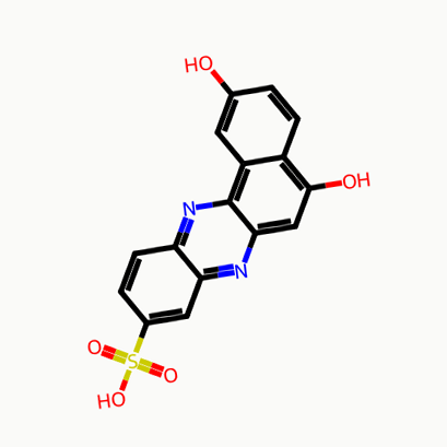 O=S(=O)(O)c1ccc2nc3c(cc(O)c4ccc(O)cc43)nc2c1